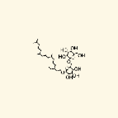 CCC(CCCC(C)CCCC(C)CCCC(C)C)CCOC1OC(COC2OC(CO)C(O)C(O)C2O)C(O)C(O)C1O